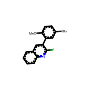 COc1ccc(C(C)(C)C)cc1-c1cc2ccccc2nc1F